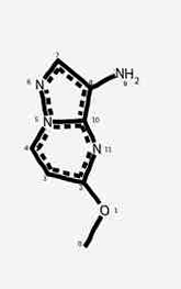 COc1ccn2ncc(N)c2n1